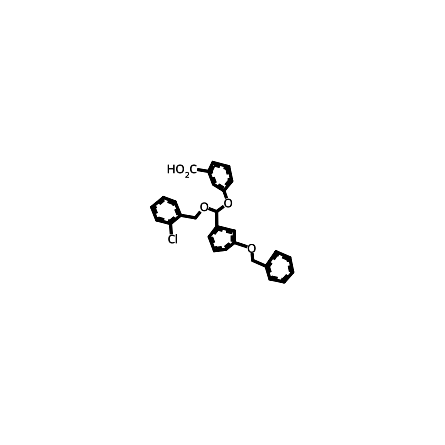 O=C(O)c1cccc(OC(OCc2ccccc2Cl)c2cccc(OCc3ccccc3)c2)c1